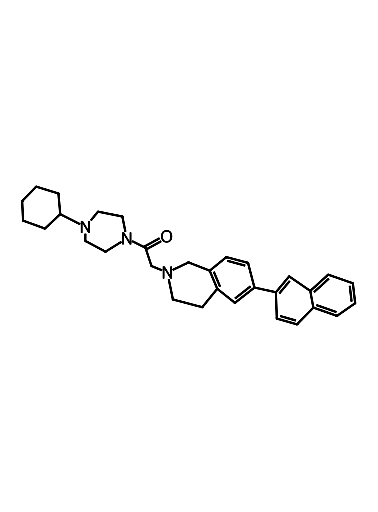 O=C(CN1CCc2cc(-c3ccc4ccccc4c3)ccc2C1)N1CCN(C2CCCCC2)CC1